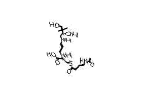 CC(=O)NCCCC(=O)SC[C@H](NCCCNC[C@H](O)C(C)(C)CO)C(=O)O